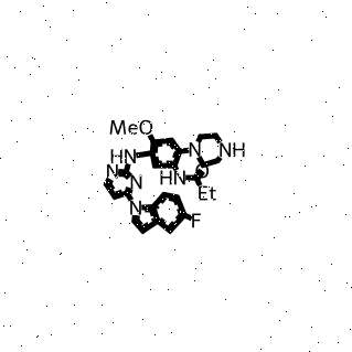 CCC(=O)Nc1cc(Nc2nccc(-n3ccc4cc(F)ccc43)n2)c(OC)cc1N1CCNCC1